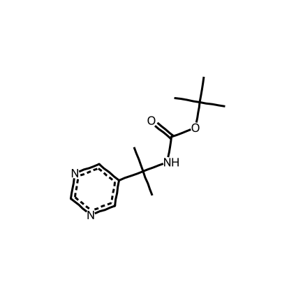 CC(C)(C)OC(=O)NC(C)(C)c1cncnc1